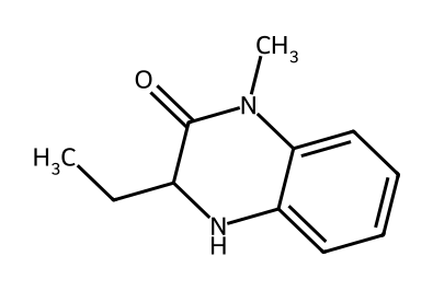 CCC1Nc2ccccc2N(C)C1=O